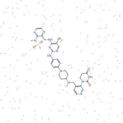 CN(Cc1ccncc1N1CCC(=O)NC1=O)C1CCN(c2ccc(Nc3ncc(C(F)(F)F)c(NCc4nccnc4N(C)S(C)(=O)=O)n3)cc2)CC1